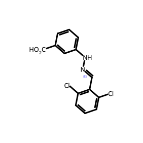 O=C(O)c1cccc(N/N=C/c2c(Cl)cccc2Cl)c1